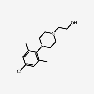 Cc1cc(Cl)cc(C)c1N1CCN(CCO)CC1